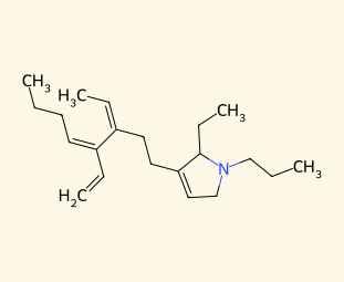 C=CC(=C/CCC)/C(=C\C)CCC1=CCN(CCC)C1CC